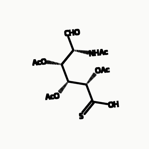 CC(=O)N[C@@H](C=O)[C@@H](OC(C)=O)[C@@H](OC(C)=O)[C@H](OC(C)=O)C(O)=S